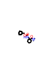 CN(C)C(=O)C1(CNC(=O)OCc2ccccc2)CCCCC1